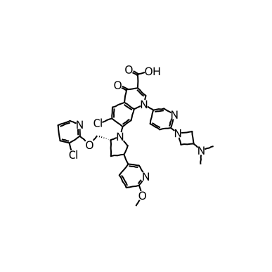 COc1ccc(C2C[C@H](COc3ncccc3Cl)N(c3cc4c(cc3Cl)c(=O)c(C(=O)O)cn4-c3ccc(N4CC(N(C)C)C4)nc3)C2)cn1